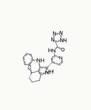 O=C(Nc1cc(-c2[nH]c3c(c2Nc2ccccc2)C(=O)CCC3)ccn1)c1nnn[nH]1